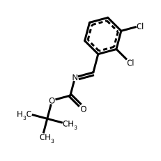 CC(C)(C)OC(=O)/N=C/c1cccc(Cl)c1Cl